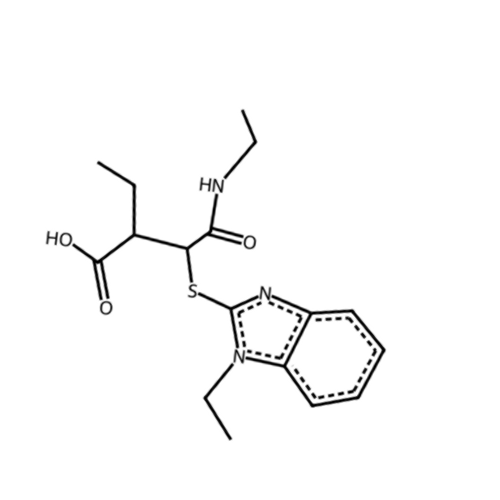 CCNC(=O)C(Sc1nc2ccccc2n1CC)C(CC)C(=O)O